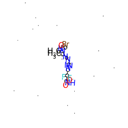 CC1(C)c2ccc(N3CC4CC3CN4Cc3cnc(N4CCC(c5cc(F)c(C6CCC(=O)NC6=O)c(F)c5)CC4)nc3)cc2-n2c1nc(=O)c1c(Br)cccc12